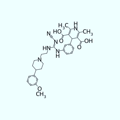 COc1cccc(C2CCN(CCN/C(=N\C#N)Nc3cccc(C4C(C(=O)O)=C(C)NC(C)=C4C(=O)O)c3)CC2)c1